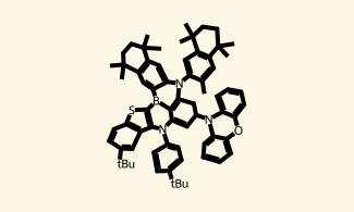 Cc1cc2c(cc1N1C3=C4B(c5cc6c(cc51)C(C)(C)CCC6(C)C)c1sc5ccc(C(C)(C)C)cc5c1N(c1ccc(C(C)(C)C)cc1)C4=CC(N1c4ccccc4Oc4ccccc41)C3)C(C)(C)CCC2(C)C